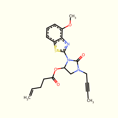 C=CCCC(=O)OC1CN(CC#CC)C(=O)N1c1nc2c(OC)cccc2s1